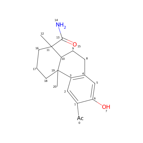 CC(=O)c1cc2c(cc1O)CCC1C(C)(C(N)=O)CCCC21C